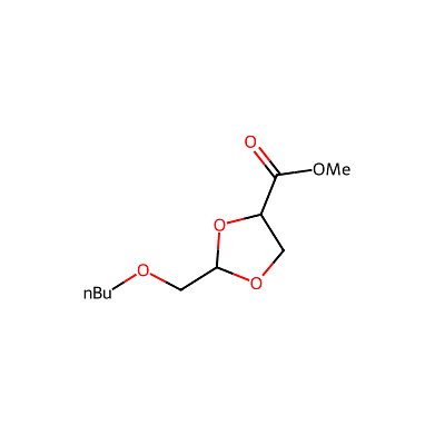 CCCCOCC1OCC(C(=O)OC)O1